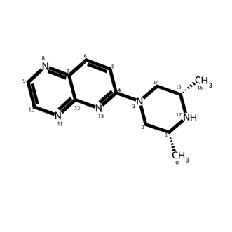 C[C@@H]1CN(c2ccc3nccnc3n2)C[C@H](C)N1